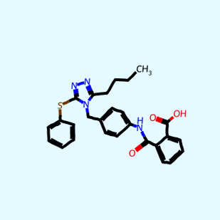 CCCCc1nnc(Sc2ccccc2)n1Cc1ccc(NC(=O)c2ccccc2C(=O)O)cc1